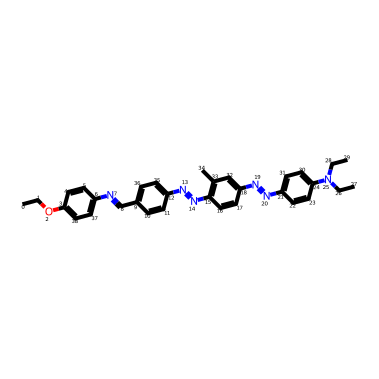 CCOc1ccc(N=Cc2ccc(N=Nc3ccc(N=Nc4ccc(N(CC)CC)cc4)cc3C)cc2)cc1